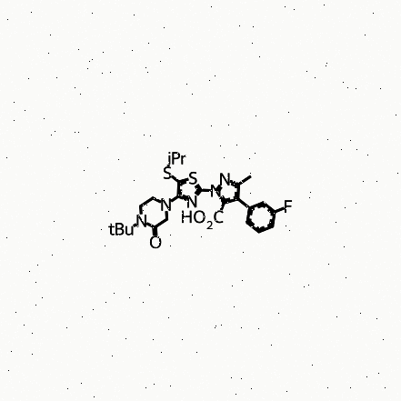 Cc1nn(-c2nc(N3CCN(C(C)(C)C)C(=O)C3)c(SC(C)C)s2)c(C(=O)O)c1-c1cccc(F)c1